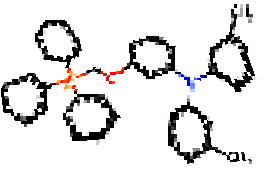 Cc1cccc(N(c2cccc(C)c2)c2cccc(OC[PH](c3ccccc3)(c3ccccc3)c3ccccc3)c2)c1